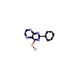 CCOc1nc(-c2ccccc2)nc2nccnc12